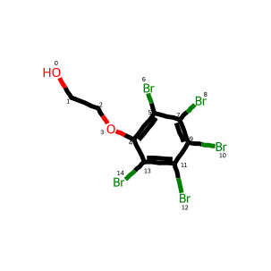 OCCOc1c(Br)c(Br)c(Br)c(Br)c1Br